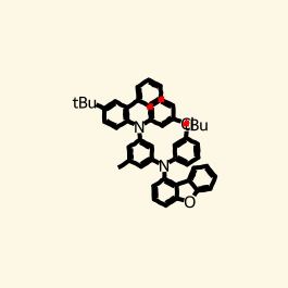 Cc1cc(N(c2cccc(Cl)c2)c2ccc(C(C)(C)C)cc2-c2ccccc2)cc(N(c2cccc(C(C)(C)C)c2)c2cccc3oc4ccccc4c23)c1